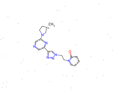 C[C@H]1CCN(c2cncc(-c3cn(CCn4ccccc4=O)nn3)n2)C1